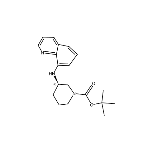 CC(C)(C)OC(=O)N1CCC[C@@H](Nc2cccc3cccnc23)C1